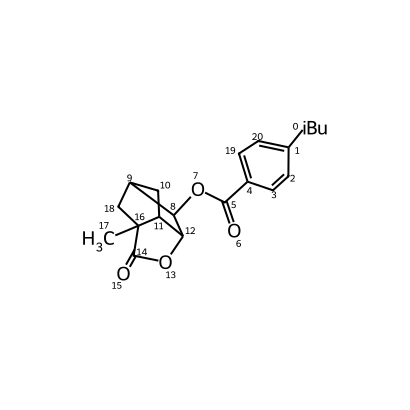 CCC(C)c1ccc(C(=O)OC2C3CC4C2OC(=O)C4(C)C3)cc1